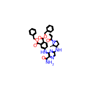 C=CC(=O)N1CC[C@@H](Nc2cnc(C(N)=O)c(Nc3ccc(C(=O)OCc4ccccc4)c(C(=O)OCc4ccccc4)c3)n2)[C@H]1C